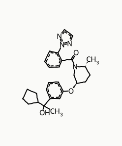 C[C@@H]1CC[C@@H](Oc2cccc(C(C)(O)C3CCCC3)c2)CN1C(=O)c1ccccc1-n1nccn1